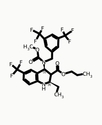 CCCOC(=O)C1[C@H](N(Cc2cc(C(F)(F)F)cc(C(F)(F)F)c2)C(=O)OC)c2cc(C(F)(F)F)ccc2N[C@@H]1CC